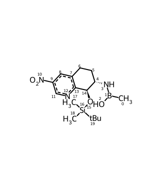 CB(O)N[C@H]1CCc2cc([N+](=O)[O-])cnc2[C@@H]1O[Si](C)(C)C(C)(C)C